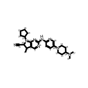 CC1c2cnc(Nc3ccc(N4CCC(N(C)C)CC4)cn3)nc2N(C2CCCC2)C1C#N